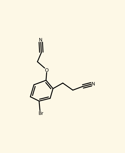 N#CCCc1cc(Br)ccc1OCC#N